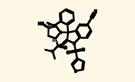 COc1ccccc1C1(N2C[C@H](O)C[C@H]2C(=O)N(C)C)C(=O)N(S(=O)(=O)c2ccsc2)c2ccc(C#N)cc21